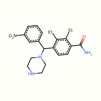 CCc1c(C(N)=O)ccc(C(c2cccc([N+](=O)[O-])c2)N2CCNCC2)c1CC